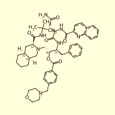 CC(C)(C)NC(=O)[C@@H]1C[C@@H]2CCCC[C@@H]2CN1C[C@@H](OC(=O)c1ccc(CN2CCOCC2)cc1)[C@H](Cc1ccccc1)NC(=O)[C@H](CC(N)=O)NC(=O)c1ccc2ccccc2n1